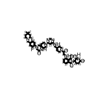 CC1(C)CCN(Cc2cc(F)c(N3CC(=O)NC4(CCN(c5cc(NCC6CCN(C(=O)CNc7cccc8c7C(=O)N(C7CCC(=O)NC7=O)C8=O)CC6)ncn5)CC4)C3)cc2F)CC1